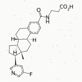 C[C@]12CC[C@@H]3c4ccc(C(=O)NCCC(=O)O)cc4CC[C@H]3[C@@H]1CC[C@@H]2c1cncc(F)c1